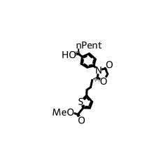 CCCCC[C@H](O)c1ccc(N2C(=O)CO[C@@H]2CCCc2ccc(C(=O)OC)s2)cc1